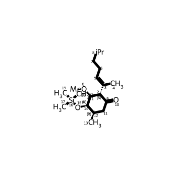 CO[C@H]1[C@H](C(C)=CCCC(C)C)C(=O)C[C@@H](C)[C@H]1O[Si](C)(C)C